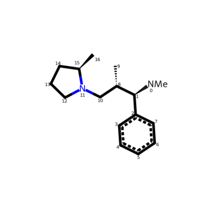 CN[C@@H](c1ccccc1)[C@@H](C)CN1CCC[C@H]1C